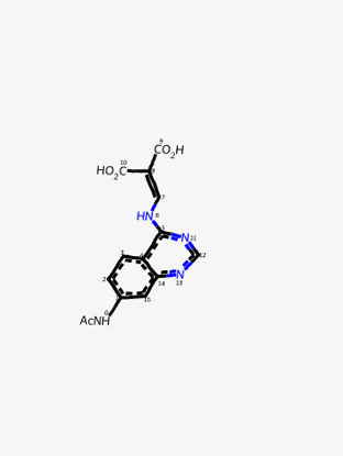 CC(=O)Nc1ccc2c(NC=C(C(=O)O)C(=O)O)ncnc2c1